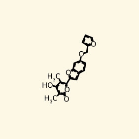 Cc1c(-c2cc3ccc(OCc4ccco4)cc3o2)oc(=O)c(C)c1O